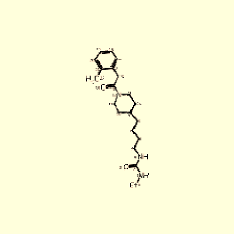 CCNC(=O)NCCCCC1CCN(C(=O)Cc2ccccc2C)CC1